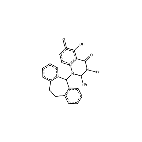 CCCC1N(C(C)C)C(=O)c2c(O)c(=O)ccn2N1C1c2ccccc2CCc2ccccc21